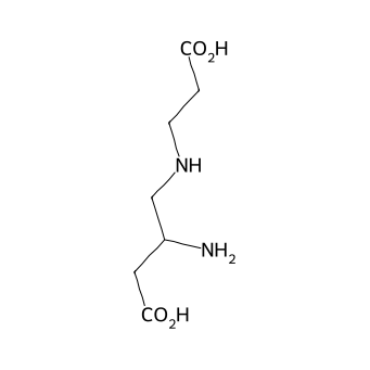 NC(CNCCC(=O)O)CC(=O)O